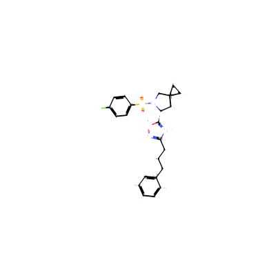 O=S(=O)(c1ccc(F)cc1)N1CC2(CC2)C[C@H]1c1nc(CCCc2ccccc2)no1